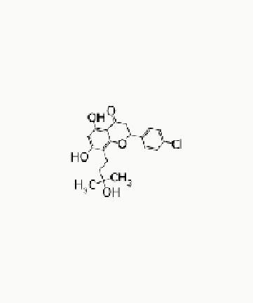 CC(C)(O)CCc1c(O)cc(O)c2c1OC(c1ccc(Cl)cc1)CC2=O